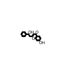 O=c1cc(CC(O)c2ccccc2)oc2cc(O)ccc12